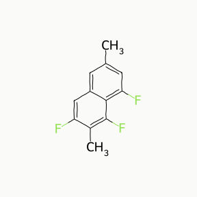 Cc1cc(F)c2c(F)c(C)c(F)cc2c1